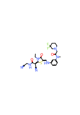 CCn1c(=C(C#N)C(=O)NCC#N)sc(=CNc2cccc(N(C)C(=O)CN3CCCC(F)(F)C3)c2)c1=O